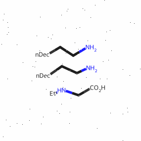 CCCCCCCCCCCCN.CCCCCCCCCCCCN.CCNCC(=O)O